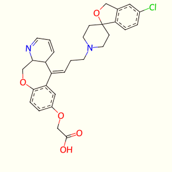 O=C(O)COc1ccc2c(c1)/C(=C/CCN1CCC3(CC1)OCc1cc(Cl)ccc13)C1C=CC=NC1CO2